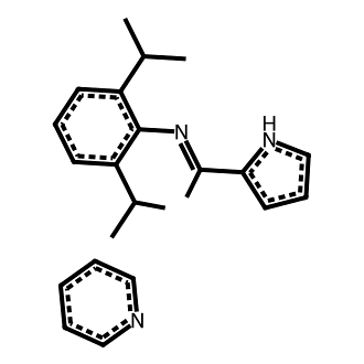 CC(=Nc1c(C(C)C)cccc1C(C)C)c1ccc[nH]1.c1ccncc1